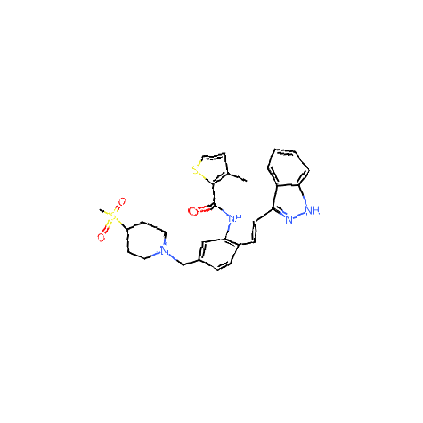 Cc1ccsc1C(=O)Nc1cc(CN2CCC(S(C)(=O)=O)CC2)ccc1C=Cc1n[nH]c2ccccc12